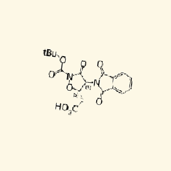 CC(C)(C)OC(=O)N1O[C@@H](CC(=O)O)[C@H](N2C(=O)c3ccccc3C2=O)C1=O